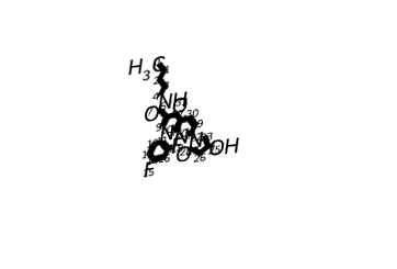 CCCCCNC(=O)c1cn(-c2ccc(F)cc2F)c2nc(N3CC(O)CC3=O)ccc2c1=O